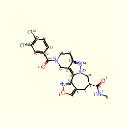 CNC(=O)C1Cc2conc2-c2c3c(nn2C1)CCN(C(=O)c1ccc(Cl)c(Cl)c1)C3